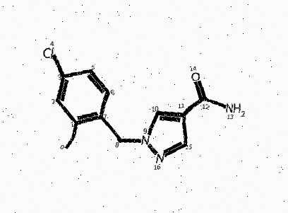 Cc1cc(Cl)ccc1Cn1cc(C(N)=O)cn1